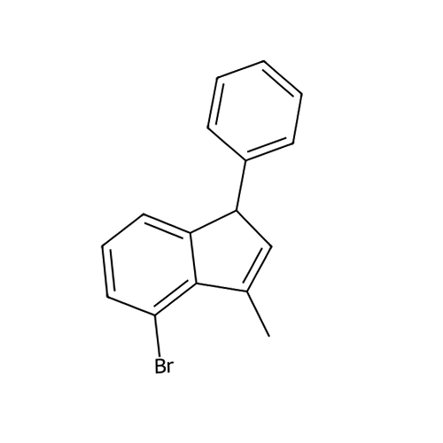 CC1=CC(c2ccccc2)c2cccc(Br)c21